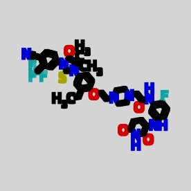 CCc1cc(N2C(=S)N(c3ccc(C#N)c(C(F)(F)F)c3)C(=O)C2(C)C)ccc1OCCN1CCN(CC(=O)Nc2cc(NC3CCC(=O)NC3=O)ccc2F)CC1